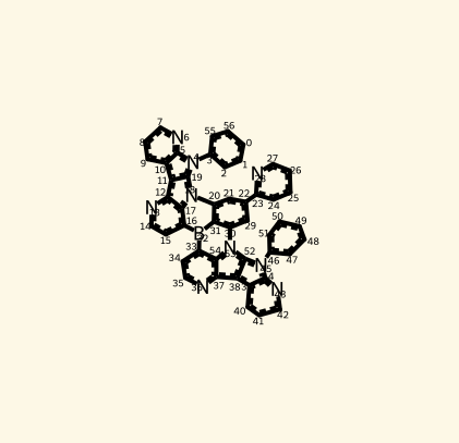 c1ccc(-n2c3ncccc3c3c4nccc5c4n(c32)-c2cc(-c3ccccn3)cc3c2B5c2ccnc4c5c6cccnc6n(-c6ccccc6)c5n-3c24)cc1